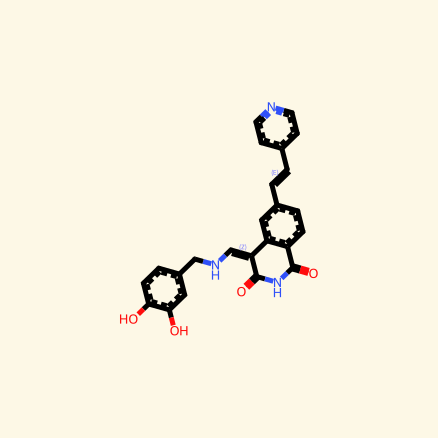 O=C1NC(=O)c2ccc(/C=C/c3ccncc3)cc2/C1=C/NCc1ccc(O)c(O)c1